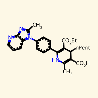 CCCCCC1C(C(=O)O)=C(C)NC(c2ccc(-n3c(C)nc4ncccc43)cc2)=C1C(=O)OCC